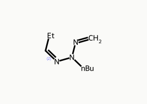 C=NN(CCCC)/N=C\CC